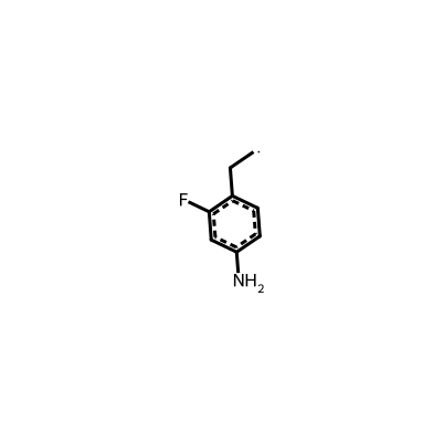 [CH2]Cc1ccc(N)cc1F